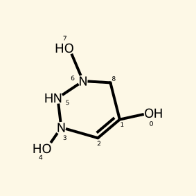 OC1=CN(O)NN(O)C1